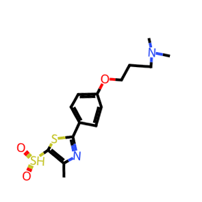 Cc1nc(-c2ccc(OCCCN(C)C)cc2)sc1[SH](=O)=O